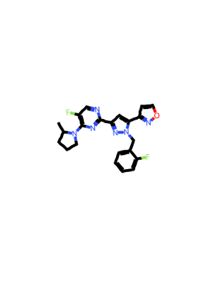 CC1CCCN1c1nc(-c2cc(-c3ccon3)n(Cc3ccccc3F)n2)ncc1F